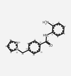 Nc1ccccc1NC(=O)c1ccc(Cn2cccn2)cc1